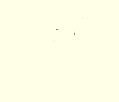 CP(C)(=O)c1cccc2c(-c3nc(N[C@@H]4CC[C@@]5(CCNC5)C4)ncc3C(F)(F)F)c[nH]c12